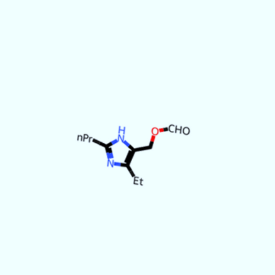 CCCc1nc(CC)c(COC=O)[nH]1